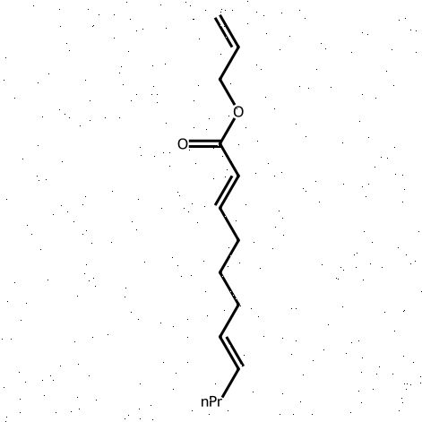 C=CCOC(=O)/C=C/CCC/C=C/CCC